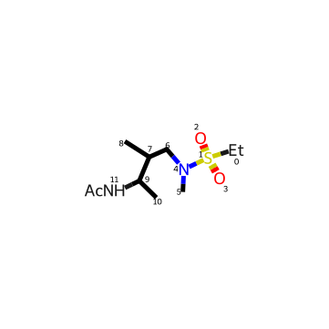 CCS(=O)(=O)N(C)CC(C)C(C)NC(C)=O